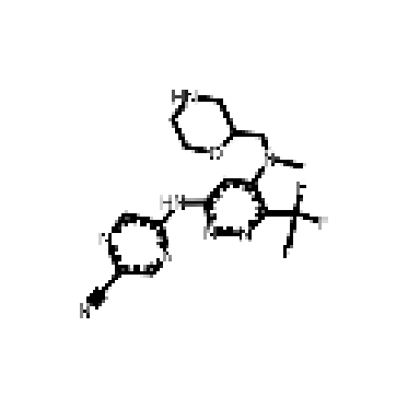 CN(CC1CNCCO1)c1cc(Nc2cnc(C#N)cn2)nnc1C(F)(F)F